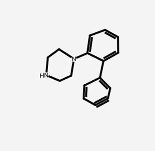 c1ccc(-c2ccccc2N2CCNCC2)cc#1